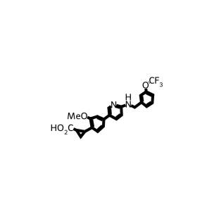 COc1cc(-c2ccc(NCc3cccc(OC(F)(F)F)c3)nc2)ccc1C1CC1C(=O)O